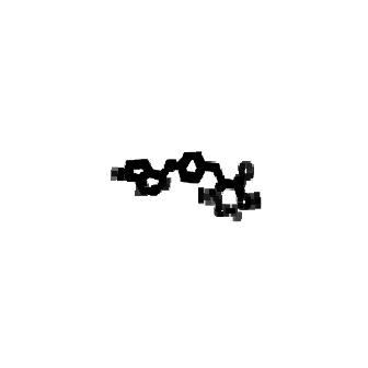 CN[C@@H](Cc1ccc(Oc2ncnc3[nH]ccc23)cc1)C(=O)O